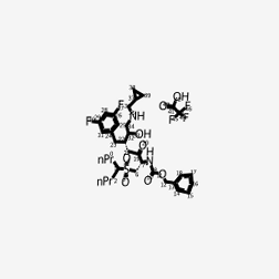 CCCC(CCC)S(=O)(=O)C[C@@H](NC(=O)OCc1ccccc1)C(=O)C[C@H](Cc1cc(F)cc(F)c1)C(O)CNCC1CC1.O=C(O)C(F)(F)F